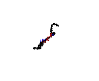 CCCCC/C=C\C/C=C\CCCCCCCCOCC(CN1CCCCC1)OCCOC(=O)CCNC(=O)O[C@H]1CCC2(C)C(=CCC3C2CCC2(C)C(C(C)CCCC(C)C)CCC32)C1